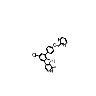 Cc1nccc2c1[nH]c1c(-c3ccc(OCc4ncccn4)cc3)cc(Cl)cc12